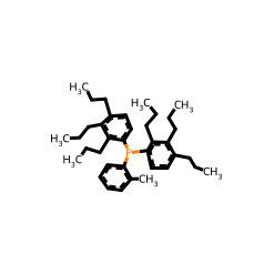 CCCc1ccc(P(c2ccccc2C)c2ccc(CCC)c(CCC)c2CCC)c(CCC)c1CCC